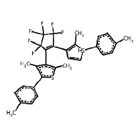 CC1=C(C2=C(c3c(C)sc(-c4ccc(C)cc4)c3C)C(F)(F)C(F)(F)C2(F)F)C=C[SH]1c1ccc(C)cc1